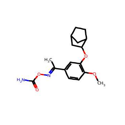 COc1ccc(/C(C)=N/OC(N)=O)cc1OC1CC2CCC1C2